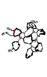 CC(C)(C)c1ccc(N(c2ccc(C(C)(C)C)cc2)c2cc3c4c(c2N(c2ccc(C(C)(C)C)cc2)c2ccc(C(C)(C)C)cc2)B2c5ccccc5-c5cccc(c52)N4c2cccc4c2B3c2ccccc2-4)cc1